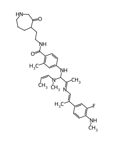 C/C=C\N(C)C(Nc1ccc(C(=O)NCCC2CCCNCC2=O)c(C)c1)/C(C)=N/C=C(\C)c1ccc(NC)c(F)c1